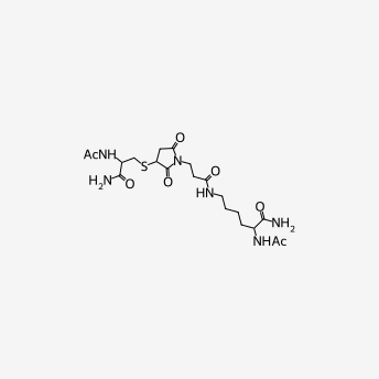 CC(=O)NC(CCCCNC(=O)CCN1C(=O)CC(SCC(NC(C)=O)C(N)=O)C1=O)C(N)=O